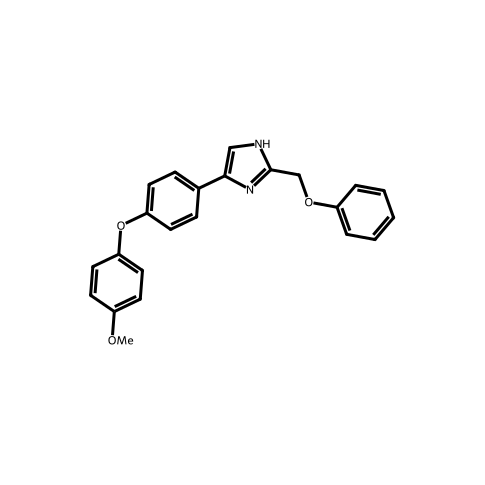 COc1ccc(Oc2ccc(-c3c[nH]c(COc4ccccc4)n3)cc2)cc1